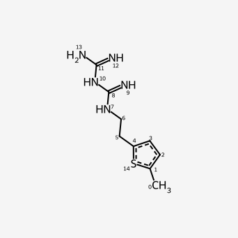 Cc1ccc(CCNC(=N)NC(=N)N)s1